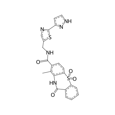 Cc1c(C(=O)NCc2cnc(-c3cc[nH]n3)s2)ccc2c1NC(=O)c1ccccc1S2(=O)=O